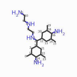 CC1CC(C(NCCNCCN)C2CC(C)C(N)C(C)C2)CC(C)C1N